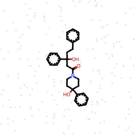 O=C(CC(O)(CCc1ccccc1)c1ccccc1)N1CCC(O)(c2ccccc2)CC1